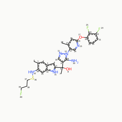 Cc1cc2cc(C(C)(O)c3cnn(-c4cnc(Oc5cccc(F)c5F)cc4C)c3N)[nH]c2cc1NSCCCF